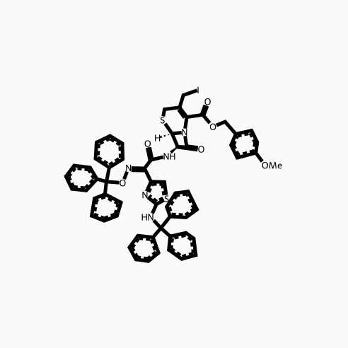 COc1ccc(COC(=O)C2=C(CI)CS[C@@H]3[C@H](NC(=O)/C(=N/OC(c4ccccc4)(c4ccccc4)c4ccccc4)c4csc(NC(c5ccccc5)(c5ccccc5)c5ccccc5)n4)C(=O)N23)cc1